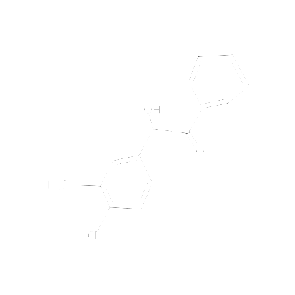 [CH2]c1cc(C(O)C(=O)c2ccccc2)ccc1Cl